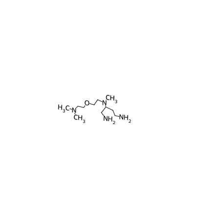 CN(C)CCOCCN(C)C(CN)CCN